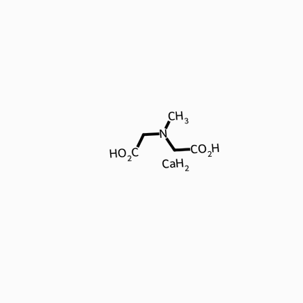 CN(CC(=O)O)CC(=O)O.[CaH2]